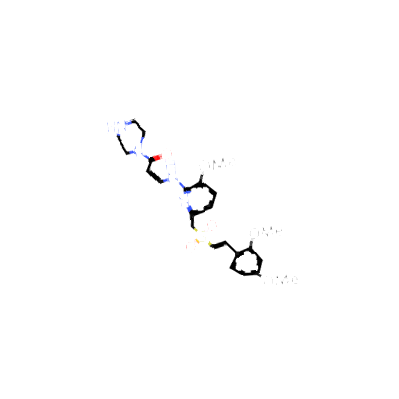 COc1ccc(/C=C/S(=O)(=O)Cc2ccc(OC)c(N/C=C\C(=O)N3CCNCC3)n2)c(OC)c1